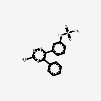 CS(=O)(=O)Nc1cccc(-c2nnc(N)nc2-c2ccccc2)c1